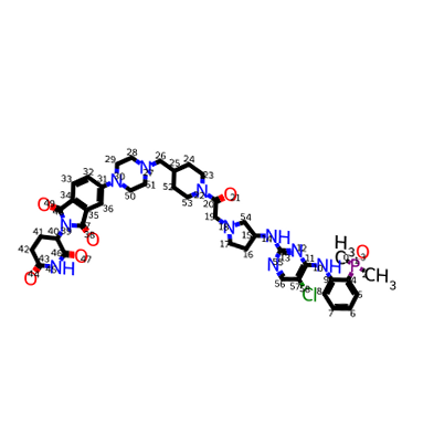 CP(C)(=O)c1ccccc1Nc1nc(NC2CCN(CC(=O)N3CCC(CN4CCN(c5ccc6c(c5)C(=O)N(C5CCC(=O)NC5=O)C6=O)CC4)CC3)C2)ncc1Cl